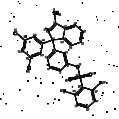 NC1=NC(c2cccc(OS(=O)(=O)c3c(F)cccc3F)c2)(c2cc(Cl)nc(Cl)c2)c2ccccc21